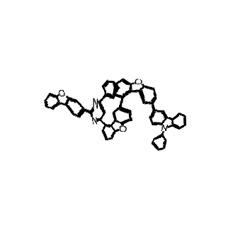 c1ccc(-c2cc(-c3cccc4oc5ccc(-c6cccc7oc8ccc(-c9ccc%10c(c9)c9ccccc9n%10-c9ccccc9)cc8c67)cc5c34)nc(-c3ccc4c(c3)oc3ccccc34)n2)cc1